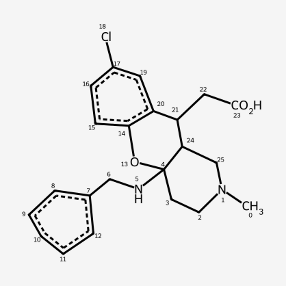 CN1CCC2(NCc3ccccc3)Oc3ccc(Cl)cc3C(CC(=O)O)C2C1